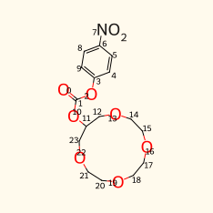 O=C(Oc1ccc([N+](=O)[O-])cc1)OC1COCCOCCOCCOC1